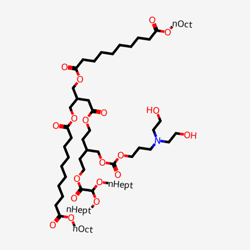 CCCCCCCCOC(=O)CCCCCCCCC(=O)OCC(COC(=O)CCCCCCCCC(=O)OCCCCCCCC)CC(=O)OCCC(CCOC(=O)C(OCCCCCCC)OCCCCCCC)COC(=O)OCCCN(CCO)CCO